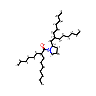 CCCCCCCC(CCCCCC)C(=O)N1CCCC1CC(CCCCCC)CCCCCC